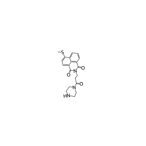 CSc1ccc2c3c(cccc13)C(=O)N(CCC(=O)N1CCNCC1)C2=O